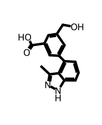 Cc1n[nH]c2cccc(-c3cc(CO)cc(C(=O)O)c3)c12